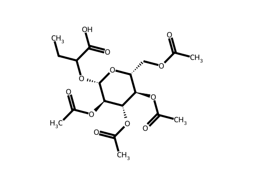 CCC(O[C@@H]1O[C@H](COC(C)=O)[C@@H](OC(C)=O)[C@H](OC(C)=O)[C@H]1OC(C)=O)C(=O)O